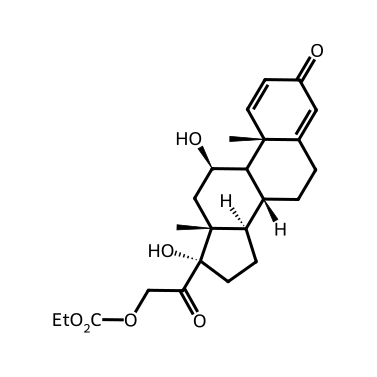 C[CH]OC(=O)OCC(=O)[C@]1(O)CC[C@@H]2[C@H]3CCC4=CC(=O)C=C[C@@]4(C)C3[C@H](O)C[C@]21C